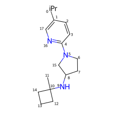 CC(C)c1ccc(N2CCC(NC3(C)CCC3)C2)nc1